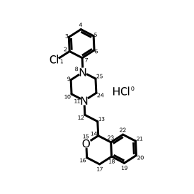 Cl.Clc1ccccc1N1CCN(CCC2OCCc3ccccc32)CC1